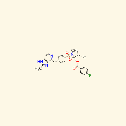 Cc1nc2c(Cc3ccc(S(=O)(=O)N(C)[C@H](COC(=O)c4ccc(F)cc4)CC(C)C)cc3)nccc2[nH]1